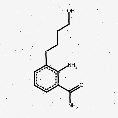 NC(=O)c1cccc(CCCCO)c1N